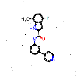 Cc1ccc(F)c2cc(C(=O)Nc3cccc(-c4ccncc4)c3)[nH]c12